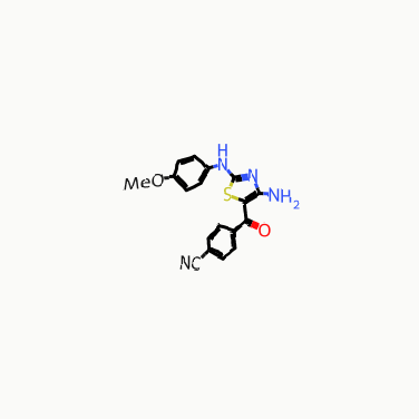 COc1ccc(Nc2nc(N)c(C(=O)c3ccc(C#N)cc3)s2)cc1